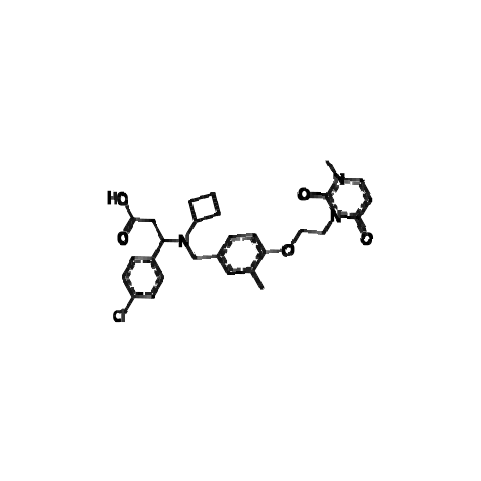 Cc1cc(CN(C2CCC2)C(CC(=O)O)c2ccc(Cl)cc2)ccc1OCCn1c(=O)ccn(C)c1=O